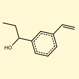 C=Cc1cccc(C(O)CC)c1